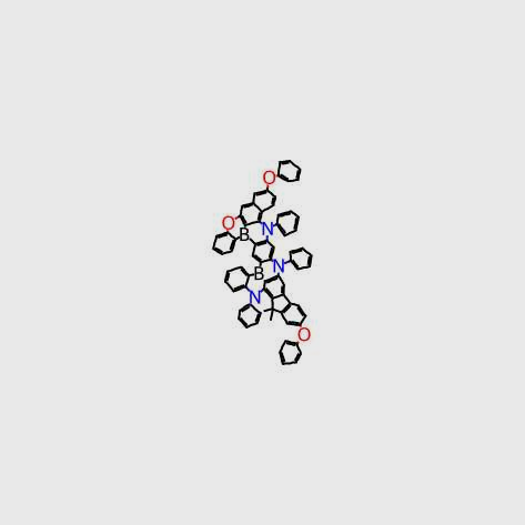 CC1(C)c2cc(Oc3ccccc3)ccc2-c2cc3c4c(c21)N(c1ccccc1)c1ccccc1B4c1cc2c(cc1N3c1ccccc1)N(c1ccccc1)c1c3c(cc4cc(Oc5ccccc5)ccc14)Oc1ccccc1B23